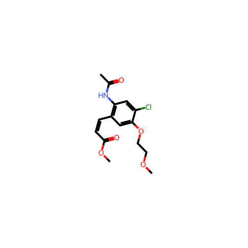 COCCOc1cc(/C=C\C(=O)OC)c(NC(C)=O)cc1Cl